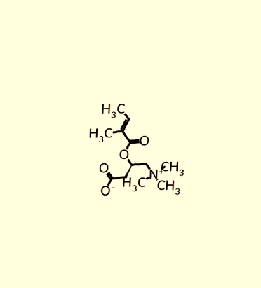 C/C=C(\C)C(=O)O[C@H](CC(=O)[O-])C[N+](C)(C)C